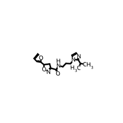 CC(C)c1nccn1CCCNC(=O)C1=NOC(c2ccco2)C1